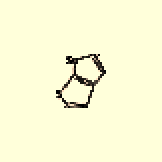 [c]1cc2c[c][se]c2s1